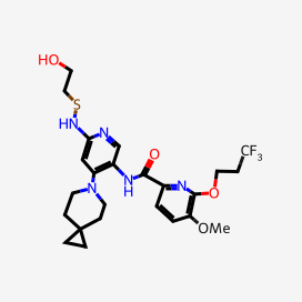 COc1ccc(C(=O)Nc2cnc(NSCCO)cc2N2CCC3(CC2)CC3)nc1OCCC(F)(F)F